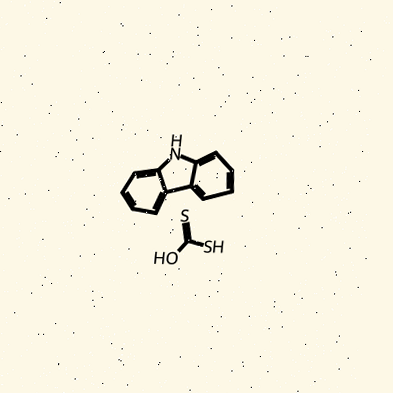 OC(=S)S.c1ccc2c(c1)[nH]c1ccccc12